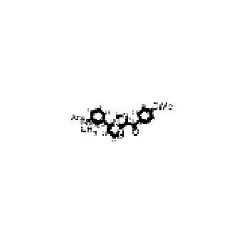 COc1ccc(C(=O)c2ncn3c(-c4cccc(N(C)C(C)=O)c4)ccnc23)cc1